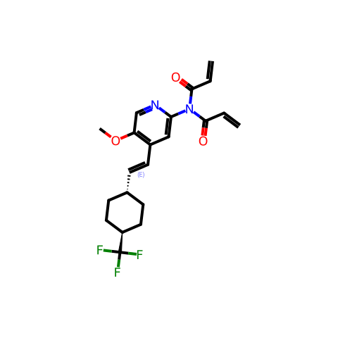 C=CC(=O)N(C(=O)C=C)c1cc(/C=C/[C@H]2CC[C@H](C(F)(F)F)CC2)c(OC)cn1